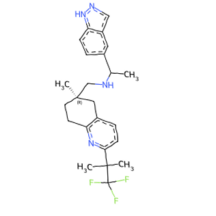 CC(NC[C@]1(C)CCc2nc(C(C)(C)C(F)(F)F)ccc2C1)c1ccc2[nH]ncc2c1